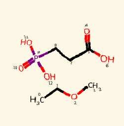 CCOC.O=C(O)CCP(=O)(O)O